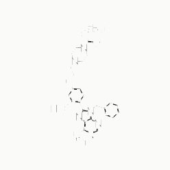 Cc1cc(OCCN2CCN(C(=O)OC(C)(C)C)CC2)ccc1-c1nc2c(OC(C)C)ncnc2n1Cc1ccccc1